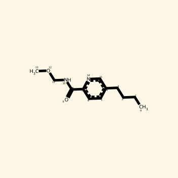 CCCCc1ccc(C(=O)NCOC)nc1